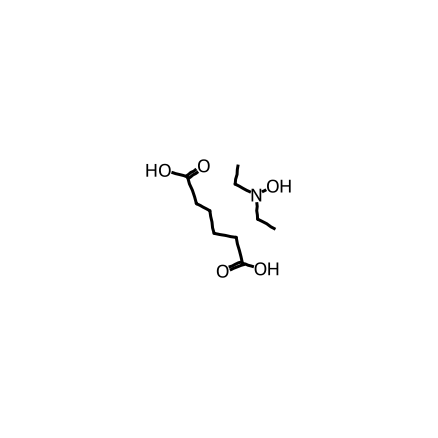 CCN(O)CC.O=C(O)CCCCC(=O)O